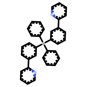 c1ccc([Si](c2ccccc2)(c2cccc(-c3ccccn3)c2)c2cccc(-c3ccccn3)c2)cc1